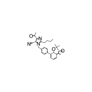 CCCCc1nc(C(C)=O)c(C#N)n1Cc1ccc(C2=CC=CC(=C=O)C2OC(C)(C)C)cc1